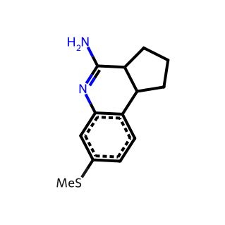 CSc1ccc2c(c1)N=C(N)C1CCCC21